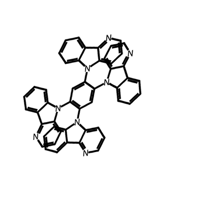 c1ccc2c(c1)c1ncccc1n2-c1cc(-n2c3ccccc3c3ncccc32)c(-n2c3ccccc3c3ncccc32)cc1-n1c2ccccc2c2ncccc21